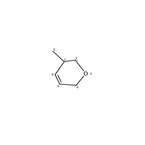 CC1[C]OCC=C1